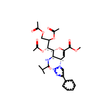 COC(=O)C1=C[C@H](n2cc(-c3ccccc3)nn2)[C@@H](NC(=O)C(C)C)[C@H]([C@H](OC(C)=O)C(COC(C)=O)OC(C)=O)O1